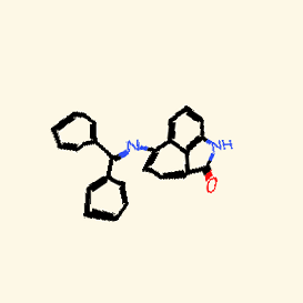 O=C1Nc2cccc3c(N=C(c4ccccc4)c4ccccc4)ccc1c23